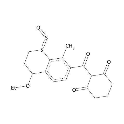 CCOC1CCS(=S=O)c2c1ccc(C(=O)C1C(=O)CCCC1=O)c2C